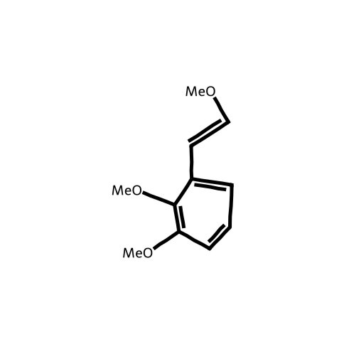 COC=Cc1cccc(OC)c1OC